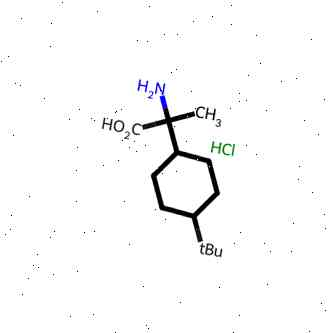 CC(C)(C)C1CCC(C(C)(N)C(=O)O)CC1.Cl